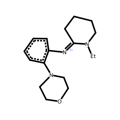 CCN1CCCC/C1=N\c1ccccc1N1CCOCC1